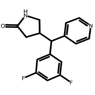 O=C1CC(C(c2ccncc2)c2cc(F)cc(F)c2)CN1